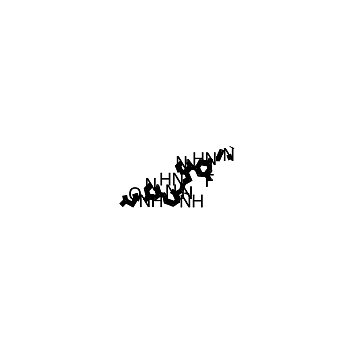 CC(C)CC(=O)Nc1cncc(-c2ccc3[nH]nc(-c4cc5c(-c6cc(F)cc(NCCN(C)C)c6)cncc5[nH]4)c3n2)c1